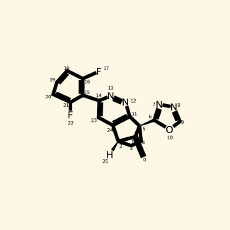 C=C1[C@@H]2CC[C@@]1(c1nnco1)c1nnc(-c3c(F)cccc3F)cc12